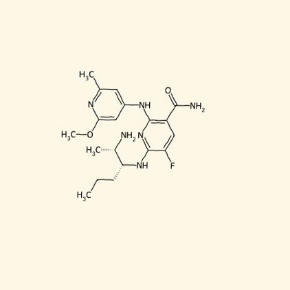 CCC[C@@H](Nc1nc(Nc2cc(C)nc(OC)c2)c(C(N)=O)cc1F)[C@H](C)N